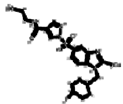 CC(C)(C)c1nc2cc(S(=O)(=O)n3cc(C(=O)NCCO)cn3)ccc2n1CC1CCC(F)CC1